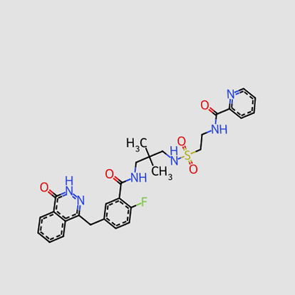 CC(C)(CNC(=O)c1cc(Cc2n[nH]c(=O)c3ccccc23)ccc1F)CNS(=O)(=O)CCNC(=O)c1ccccn1